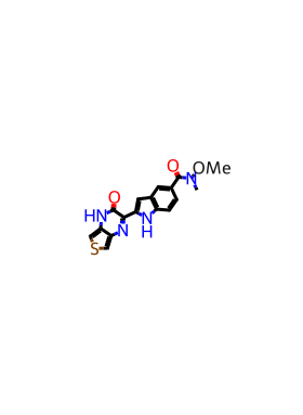 CON(C)C(=O)c1ccc2[nH]c(-c3nc4cscc4[nH]c3=O)cc2c1